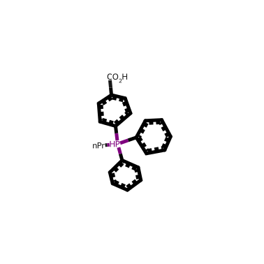 CCC[PH](c1ccccc1)(c1ccccc1)c1ccc(C(=O)O)cc1